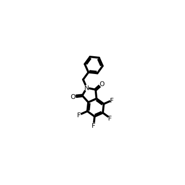 O=C1c2c(F)c(F)c(F)c(F)c2C(=O)N1Cc1ccccc1